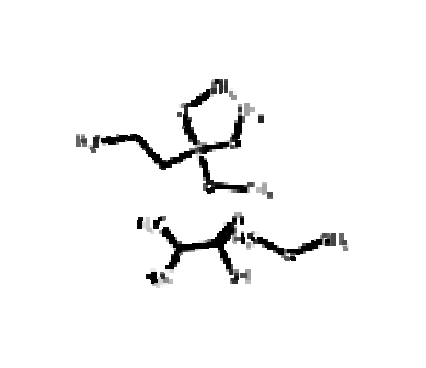 CC(C)C(=O)O.CCC[Si](OC)(OC)OC.[SiH3]O[SiH3]